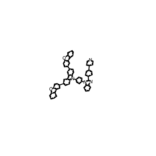 c1ccc2c(c1)nc(-c1ccc(-c3ccncc3)cc1)n2-c1ccc(-n2c3ccc(-c4ccc5oc6ccccc6c5c4)cc3c3cc(-c4ccc5oc6ccccc6c5c4)ccc32)cc1